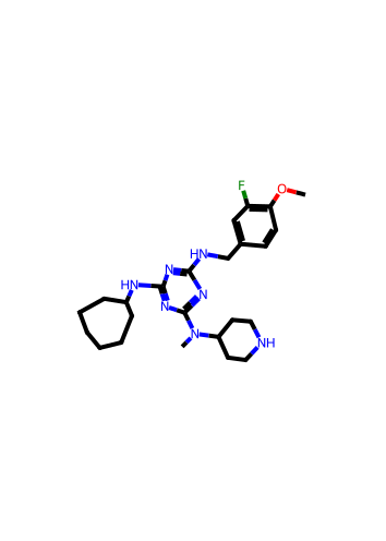 COc1ccc(CNc2nc(NC3CCCCCC3)nc(N(C)C3CCNCC3)n2)cc1F